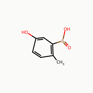 Cc1ccc(O)cc1S(=O)O